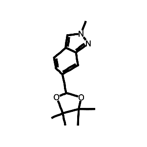 Cn1cc2ccc(C3OC(C)(C)C(C)(C)O3)cc2n1